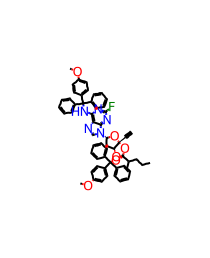 C#C[C@]1(OC(=O)C(C)CCC)O[C@@H](n2cnc3c(NC(c4ccccc4)(c4ccccc4)c4ccc(OC)cc4)nc(F)nc32)C[C@@H]1OC(c1ccccc1)(c1ccccc1)c1ccc(OC)cc1